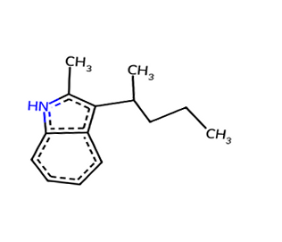 CCCC(C)c1c(C)[nH]c2ccccc12